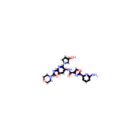 Nc1cccc(-c2nc(C(=O)Nc3cc4oc(N5CCOCC5)nc4nc3N3CC=C(O)C3)co2)n1